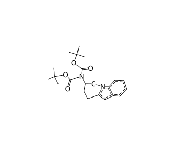 CC(C)(C)OC(=O)N(C(=O)OC(C)(C)C)C1CCc2cc3ccccc3n2C1